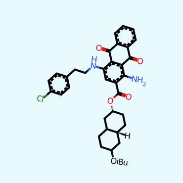 CC(C)COC1CCC2C[C@H](OC(=O)c3cc(NCCc4ccc(Cl)cc4)c4c(c3N)C(=O)c3ccccc3C4=O)CC[C@@H]2C1